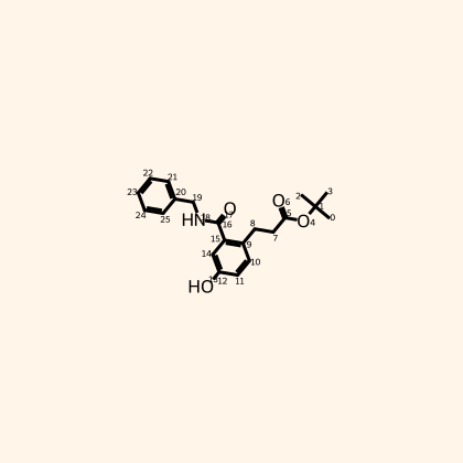 CC(C)(C)OC(=O)CCc1ccc(O)cc1C(=O)NCc1ccccc1